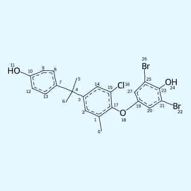 Cc1cc(C(C)(C)c2ccc(O)cc2)cc(Cl)c1Oc1cc(Br)c(O)c(Br)c1